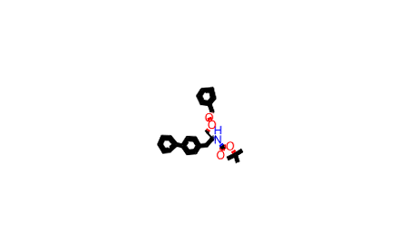 CC(C)(C)OC(=O)N[C@H](COOCc1ccccc1)Cc1ccc(-c2ccccc2)cc1